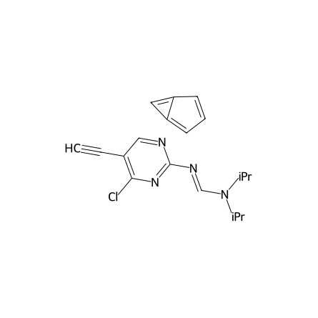 C#Cc1cnc(N=CN(C(C)C)C(C)C)nc1Cl.c1cc2cc-2c1